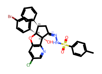 Cc1ccc(S(=O)(=O)N/N=C2/C[C@@H](c3ccccc3)[C@]3(c4ccc(Br)cc4)Oc4cc(Cl)cnc4[C@]23O)cc1